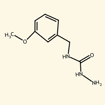 COc1cccc(CNC(=O)NN)c1